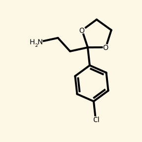 NCCC1(c2ccc(Cl)cc2)OCCO1